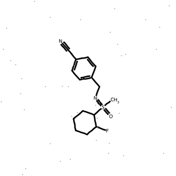 CS(=O)(=NCc1ccc(C#N)cc1)C1CCCCC1F